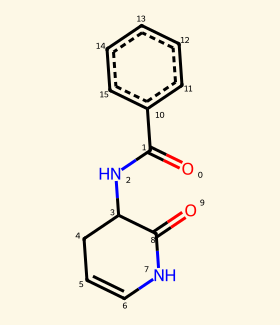 O=C(NC1CC=CNC1=O)c1ccccc1